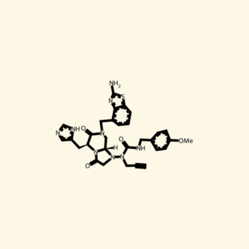 C#CCN(C(=O)NCc1ccc(OC)cc1)N1CC(=O)N2[C@@H](Cc3cnc[nH]3)C(=O)N(Cc3cccc4sc(N)nc34)C[C@@H]21